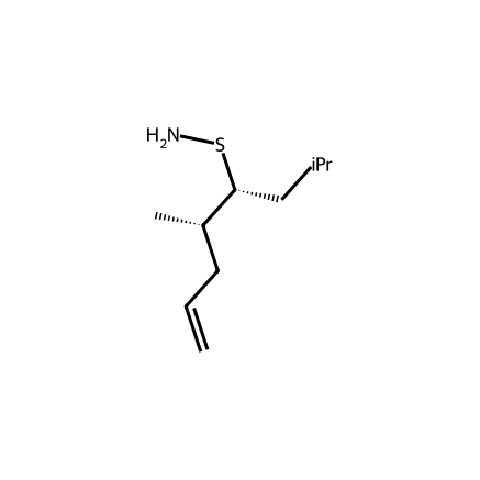 C=CC[C@H](C)[C@@H](CC(C)C)SN